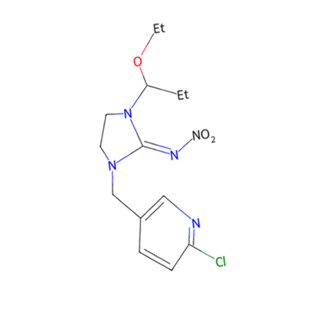 CCOC(CC)N1CCN(Cc2ccc(Cl)nc2)C1=N[N+](=O)[O-]